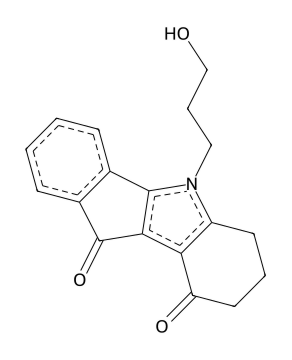 O=C1CCCc2c1c1c(n2CCCO)-c2ccccc2C1=O